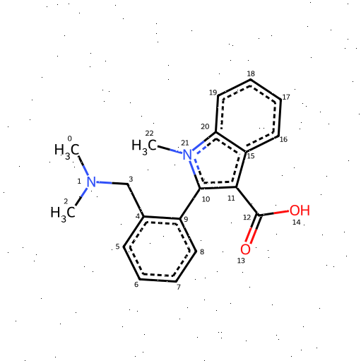 CN(C)Cc1ccccc1-c1c(C(=O)O)c2ccccc2n1C